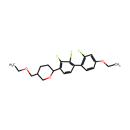 CCOCC1CCC(c2ccc(-c3ccc(OCC)cc3F)c(F)c2F)OC1